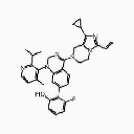 C=Cc1nc(C2CC2)c2n1CCN(C1=NCN(c3c(C)ccnc3C(C)C)c3cc(-c4c(O)cccc4F)ccc31)C2